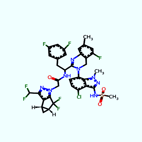 Cc1cc(F)c2c(c1)N=C(C(Cc1cc(F)cc(F)c1)NC(=O)Cn1nc(C(F)F)c3c1C(F)(F)[C@@H]1C[C@H]31)N(c1ccc(Cl)c3c(NS(C)(=O)=O)nn(C)c13)C2